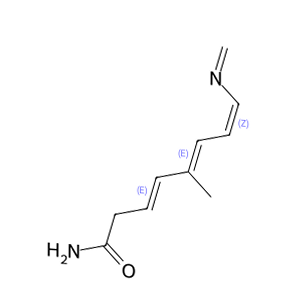 C=N\C=C/C=C(C)/C=C/CC(N)=O